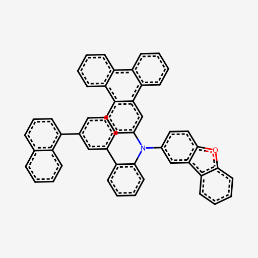 c1cc(-c2ccccc2N(c2ccc3oc4ccccc4c3c2)c2ccc3c4ccccc4c4ccccc4c3c2)cc(-c2cccc3ccccc23)c1